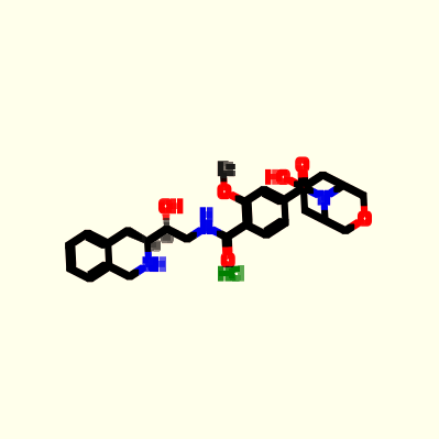 CCOc1cc(C(=O)N2C3COCC2CC(O)C3)ccc1C(=O)NC[C@@H](O)[C@@H]1Cc2ccccc2CN1.Cl